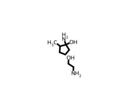 CC1CCCC1(N)O.NCCO